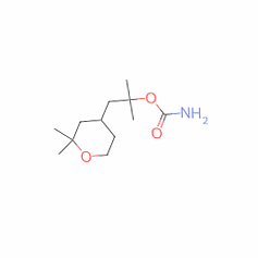 CC1(C)CC(CC(C)(C)OC(N)=O)CCO1